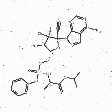 CC(C)OC(=O)[C@@H](C)N[P@](=O)(OC[C@H]1O[C@@](C#N)(n2ncc3c(N)ncnc32)[C@@](F)(Cl)[C@@H]1O)Oc1ccccc1